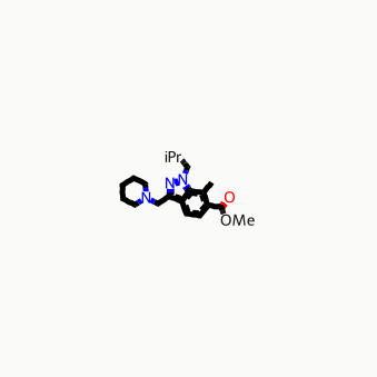 COC(=O)c1ccc2c(CN3CCCCC3)nn(CC(C)C)c2c1C